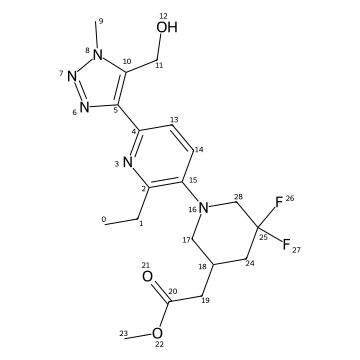 CCc1nc(-c2nnn(C)c2CO)ccc1N1CC(CC(=O)OC)CC(F)(F)C1